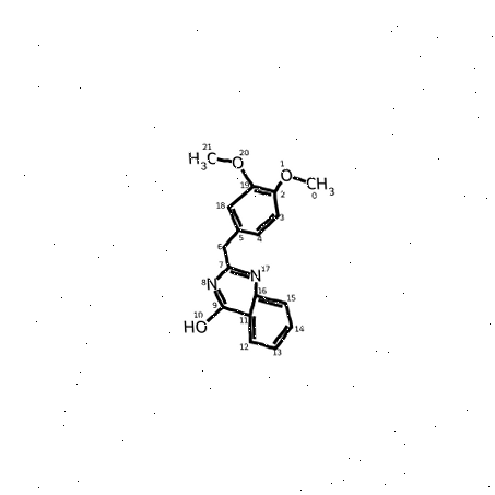 COc1ccc(Cc2nc(O)c3ccccc3n2)cc1OC